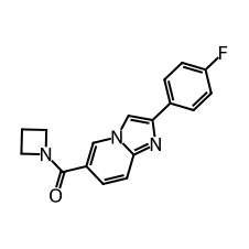 O=C(c1ccc2nc(-c3ccc(F)cc3)cn2c1)N1CCC1